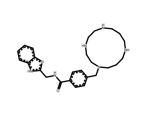 O=C(NCc1nc2ccccc2[nH]1)c1ccc(CN2CCCNCCCNCCNCC2)cc1